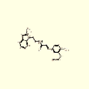 CCCCCOc1cc(/C=C/C(=O)NCCn2c(C)cc3ccccc32)ccc1C